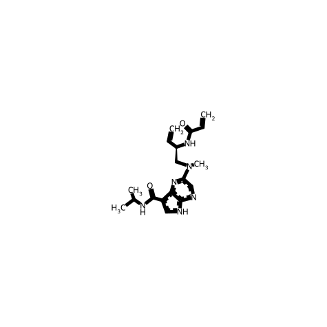 C=CC(=O)N[C@H](C=C)CN(C)c1cnc2[nH]cc(C(=O)NC(C)C)c2n1